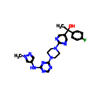 Cn1cc(Nc2ncnc(N3CCN(c4ncc([C@](C)(O)c5ccc(F)cc5)cn4)CC3)n2)cn1